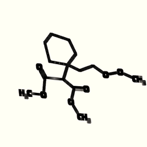 COOCCC1(C(C(=O)OC)C(=O)OC)CCCCC1